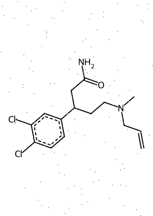 C=CCN(C)CCC(CC(N)=O)c1ccc(Cl)c(Cl)c1